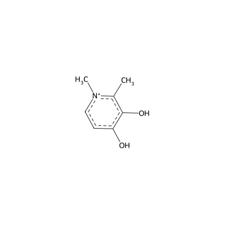 Cc1c(O)c(O)cc[n+]1C